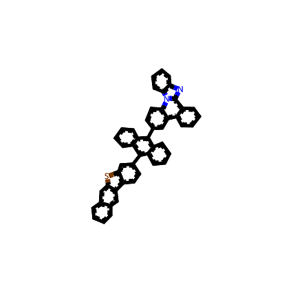 c1ccc2cc3c(cc2c1)sc1cc(-c2c4ccccc4c(-c4ccc5c(c4)c4ccccc4c4nc6ccccc6n54)c4ccccc24)ccc13